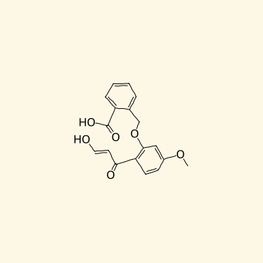 COc1ccc(C(=O)C=CO)c(OCc2ccccc2C(=O)O)c1